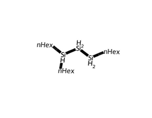 CCCCCC[SiH2][SiH2][SiH](CCCCCC)CCCCCC